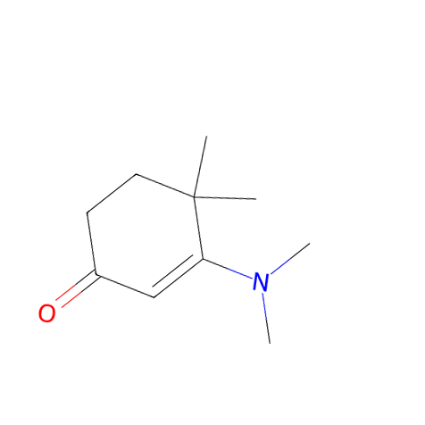 CN(C)C1=CC(=O)CCC1(C)C